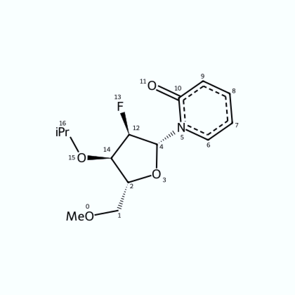 COC[C@H]1O[C@@H](n2ccccc2=O)[C@H](F)[C@@H]1OC(C)C